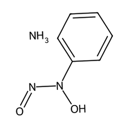 N.O=NN(O)c1ccccc1